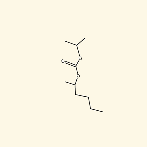 CCCCC(C)OC(=O)OC(C)C